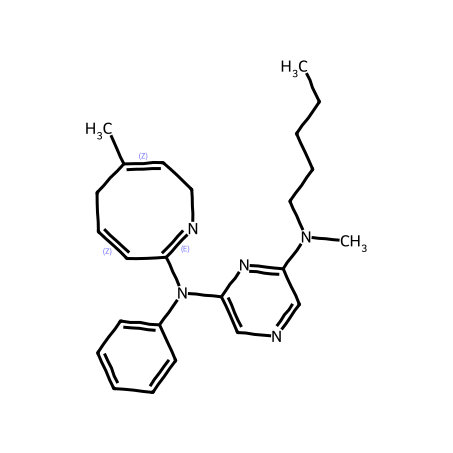 CCCCCN(C)c1cncc(N(C2=N/C/C=C(/C)C/C=C\2)c2ccccc2)n1